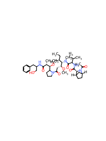 CC[C@H](C)[C@@H]([C@@H](CC(=O)N1CCCC1[C@H](OC)[C@@H](C)C(=O)NC(CO)Cc1ccccc1)OC)N(C)C(=O)C(NC(=O)[C@@H]1[C@H]2CC[C@H](C2)N1C(C)=O)C(C)C